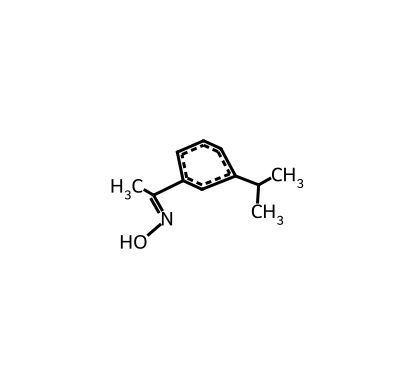 CC(=NO)c1cccc(C(C)C)c1